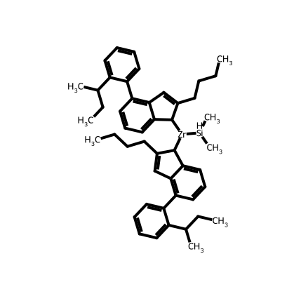 CCCCC1=Cc2c(-c3ccccc3C(C)CC)cccc2[CH]1[Zr]([CH]1C(CCCC)=Cc2c(-c3ccccc3C(C)CC)cccc21)[SiH](C)C